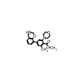 COC(=O)c1c(C)cc(-c2cccc3c2OCNC3)cc1N1CCOCC1